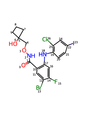 O=C(NOCC1(O)CCC1)c1cc(Br)c(F)cc1Nc1ccc(I)cc1Cl